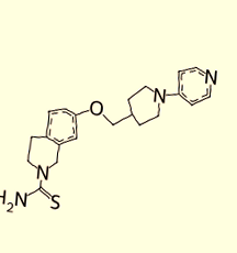 NC(=S)N1CCc2ccc(OCC3CCN(c4ccncc4)CC3)cc2C1